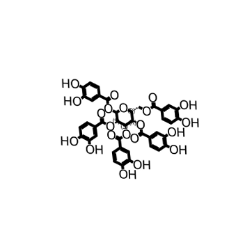 O=C(OC[C@H]1OC(OC(=O)c2ccc(O)c(O)c2)[C@@H](OC(=O)c2ccc(O)c(O)c2)[C@@H](OC(=O)c2ccc(O)c(O)c2)[C@@H]1OC(=O)c1ccc(O)c(O)c1)c1ccc(O)c(O)c1